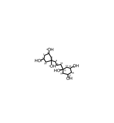 OC1CC(O)CC(O)(CCCC2(O)CC(O)CC(O)C2)C1